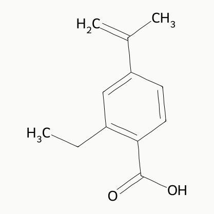 C=C(C)c1ccc(C(=O)O)c(CC)c1